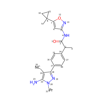 CC(C(=O)Nc1cc(C2(C)CC2)on1)c1ccc(-c2nn(C(C)C)c(N)c2C#N)cc1